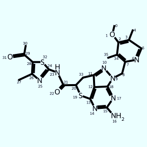 COc1c(C)cnc(Cn2nc3c4c(nc(N)nc42)SC(C(=O)Nc2nc(C)c(C(C)=O)s2)C3)c1C